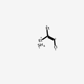 CCC(=CCl)CC.[SiH4]